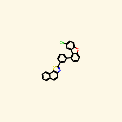 Clc1ccc2oc3cccc(-c4cccc(-c5nc6ccc7ccccc7c6s5)c4)c3c2c1